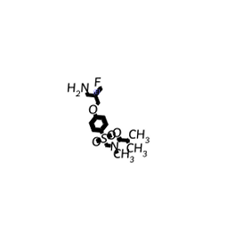 CC(C)C(=O)N(C)CS(=O)(=O)c1ccc(OC/C(=C/F)CN)cc1